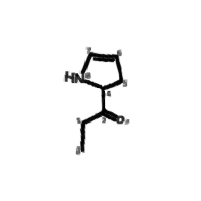 CCC(=O)C1CC=CN1